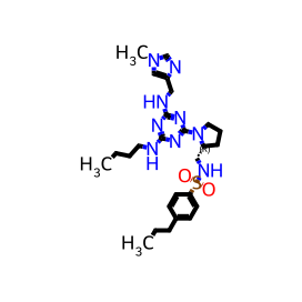 CCCCNc1nc(NCc2cn(C)cn2)nc(N2CCC[C@@H]2CNS(=O)(=O)c2ccc(CCC)cc2)n1